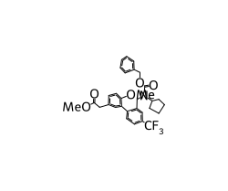 COC(=O)Cc1ccc(OC)c(-c2ccc(C(F)(F)F)cc2CN(C(=O)OCc2ccccc2)C2CCCC2)c1